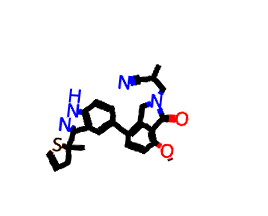 COc1ccc(-c2ccc3[nH]nc(C4(C)CC=CS4)c3c2)c2c1C(=O)N(CC(C)C#N)C2